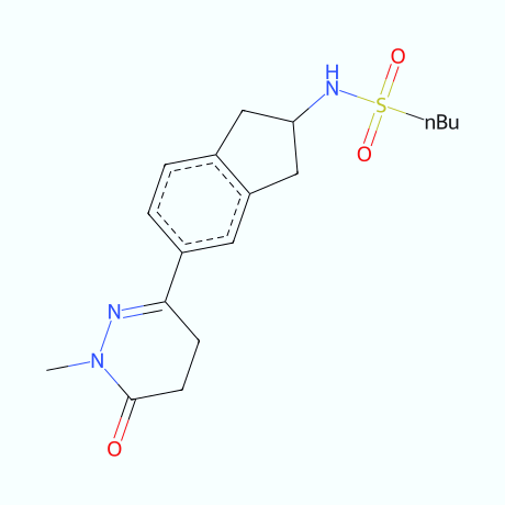 CCCCS(=O)(=O)NC1Cc2ccc(C3=NN(C)C(=O)CC3)cc2C1